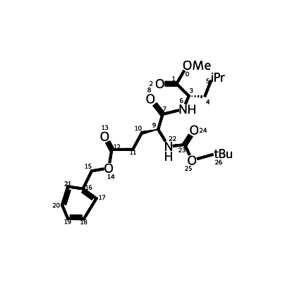 COC(=O)[C@H](CC(C)C)NC(=O)[C@H](CCC(=O)OCc1ccccc1)NC(=O)OC(C)(C)C